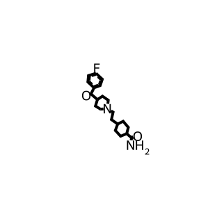 NC(=O)C1CCC(CCN2CCC(C(=O)c3ccc(F)cc3)CC2)CC1